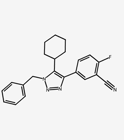 N#Cc1cc(-c2nnn(Cc3ccccc3)c2C2CCCCC2)ccc1F